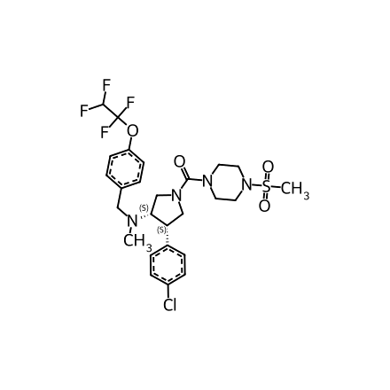 CN(Cc1ccc(OC(F)(F)C(F)F)cc1)[C@@H]1CN(C(=O)N2CCN(S(C)(=O)=O)CC2)C[C@@H]1c1ccc(Cl)cc1